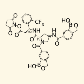 O=C(C[C@H](NC(=O)[C@@H]1C[C@@H](NC(=O)c2ccc3c(c2)B(O)OC3)CN1C(=O)c1ccc2c(c1)B(O)OC2)c1ccccc1C(F)(F)F)ON1C(=O)CCC1=O